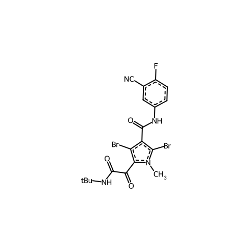 Cn1c(Br)c(C(=O)Nc2ccc(F)c(C#N)c2)c(Br)c1C(=O)C(=O)NC(C)(C)C